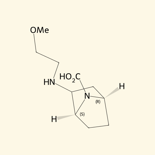 COCCNC1C[C@H]2CC[C@@H]1N2C(=O)O